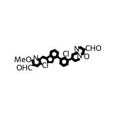 COc1nc(/C=C2\CCc3c2cccc3-c2cccc(-c3ccn4c(=O)c(C=O)cnc4c3)c2Cl)c(Cl)cc1C=O